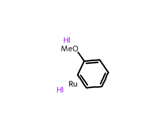 COc1ccccc1.I.I.[Ru]